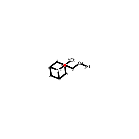 CCOCCN1C2CC1CN(CC)C2